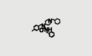 Cc1ccc(CN(C(=O)NCc2ccccc2)C2CCN(CC3CCCCC3)CC2)cc1